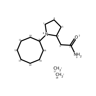 NC(=O)CC1CCCN1[C]1CCCCCCC1.[CH2].[CH2]